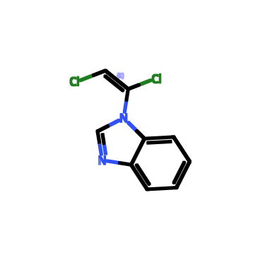 Cl/C=C(/Cl)n1cnc2ccccc21